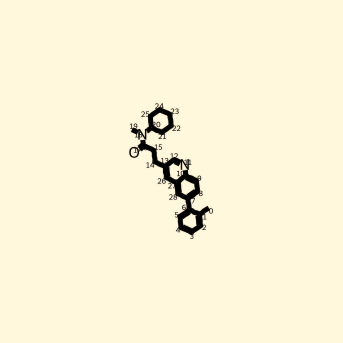 Cc1ccccc1-c1ccc2ncc(CCC(=O)N(C)C3CCCCC3)cc2c1